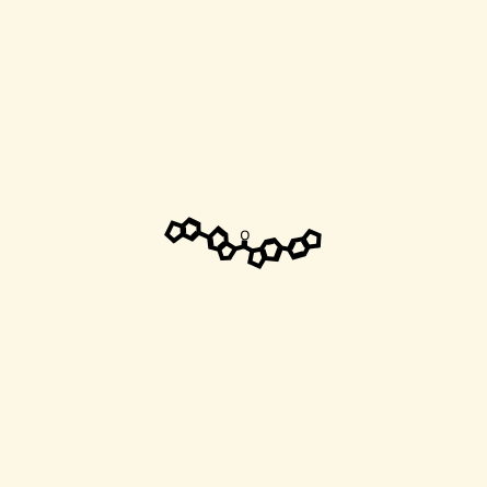 O=C(C1CCc2cc(-c3ccc4c(c3)CCC4)ccc21)C1CCc2cc(-c3ccc4c(c3)CCC4)ccc21